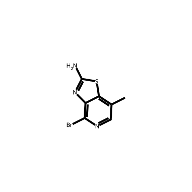 Cc1cnc(Br)c2nc(N)sc12